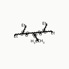 CC/C=C\CCCCOC(CCC(=O)OCCCCC(CCCCOC(=O)CCC(OCCCC/C=C\CC)OCCCC/C=C\CC)OC(=O)OCCCN(C)C)OCCCC/C=C\CC